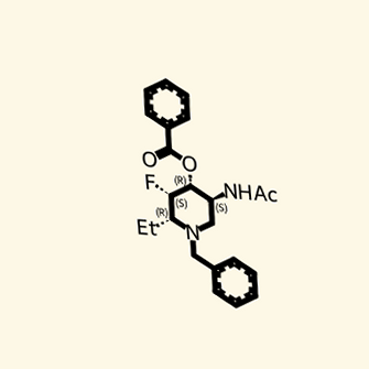 CC[C@@H]1[C@H](F)[C@H](OC(=O)c2ccccc2)[C@@H](NC(C)=O)CN1Cc1ccccc1